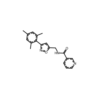 Cc1cc(C)c(-c2cc(CNC(=O)c3cccnc3)on2)c(C)c1